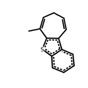 CC1=CCC=Cc2c1sc1ccccc21